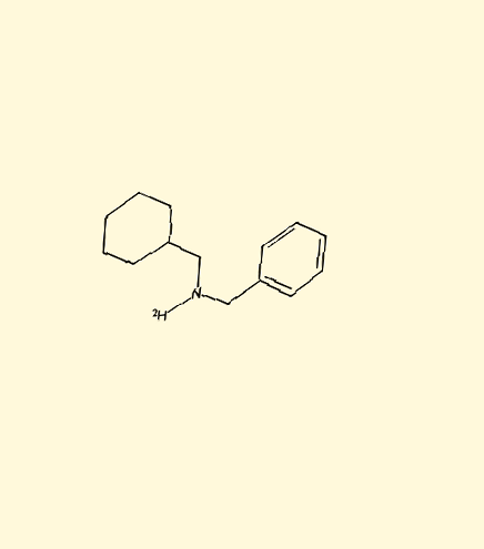 [2H]N(Cc1ccccc1)CC1CCCCC1